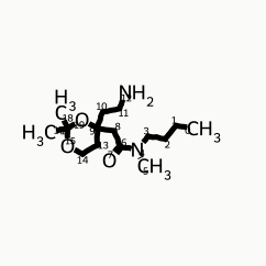 CCCCN(C)C(=O)CC1(CCN)CCOC(C)(C)O1